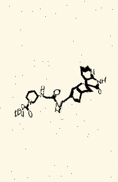 CC(C)(C)OC(=O)N1CCC[C@H](NCC(=O)Nc2ccc3c(c2)C[C@@]2(C3)C(=O)Nc3ncccc32)C1